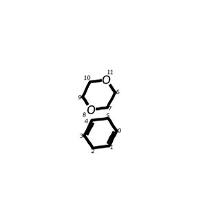 C1=CCC=CC1.C1COCCO1